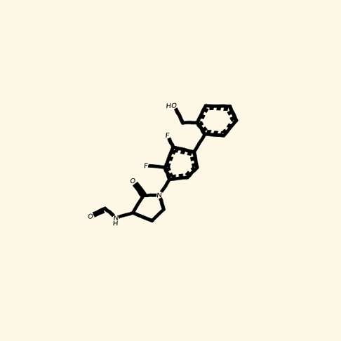 O=CNC1CCN(c2ccc(-c3ccccc3CO)c(F)c2F)C1=O